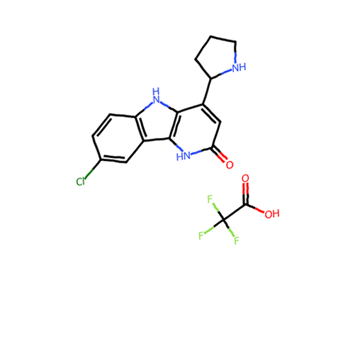 O=C(O)C(F)(F)F.O=c1cc(C2CCCN2)c2[nH]c3ccc(Cl)cc3c2[nH]1